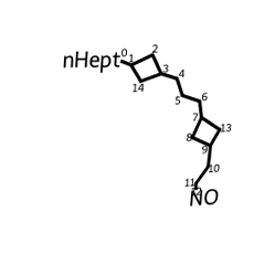 CCCCCCCC1CC(CCCC2CC(CCN=O)C2)C1